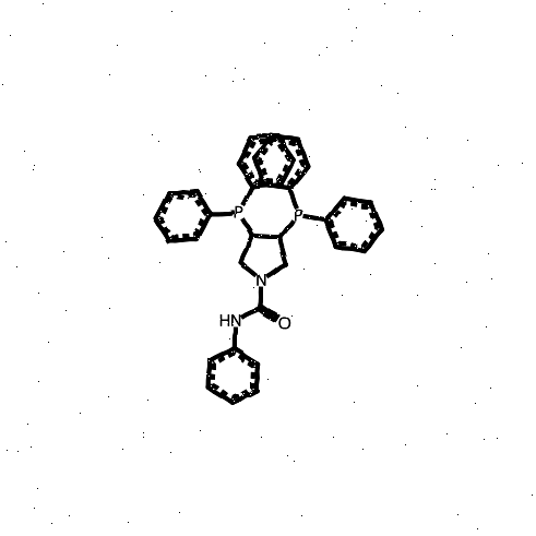 O=C(Nc1ccccc1)N1CC(P(c2ccccc2)c2ccccc2)C(P(c2ccccc2)c2ccccc2)C1